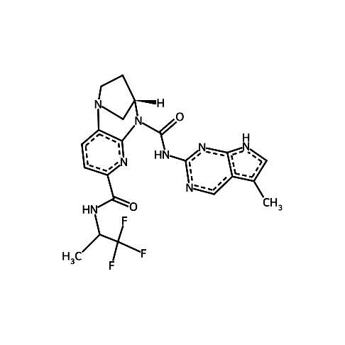 Cc1c[nH]c2nc(NC(=O)N3c4nc(C(=O)NC(C)C(F)(F)F)ccc4N4CC[C@H]3C4)ncc12